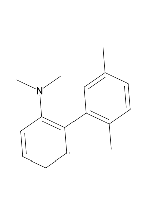 Cc1ccc(C)c(C2=C(N(C)C)C=CC[CH]2)c1